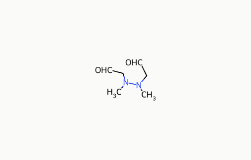 CN(CC=O)N(C)CC=O